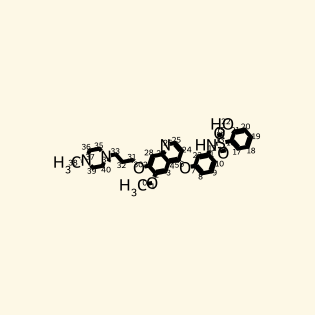 COc1cc2c(Oc3cccc(NS(=O)(=O)c4ccccc4O)c3)ccnc2cc1OCCCN1CCN(C)CC1